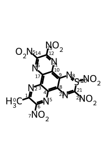 Cc1nc2c(nc1[N+](=O)[O-])c1c(c3nc([N+](=O)[O-])c([N+](=O)[O-])nc32)N=S([N+](=O)[O-])C([N+](=O)[O-])=N1